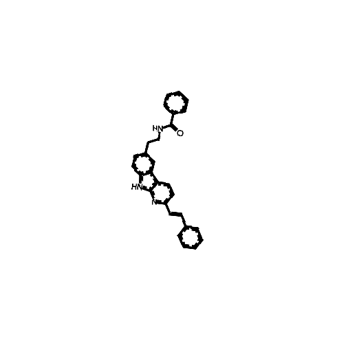 O=C(NCCc1ccc2[nH]c3nc(/C=C/c4ccccc4)ccc3c2c1)c1ccccc1